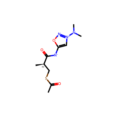 CC(=O)SC[C@@H](C)C(=O)[N-]c1c[n+](N(C)C)no1